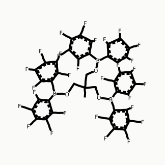 CC(COB(c1cc(F)c(F)c(F)c1F)c1c(F)c(F)c(F)c(F)c1F)(COB(c1c(F)c(F)c(F)c(F)c1F)c1c(F)c(F)c(F)c(F)c1F)COB(c1c(F)c(F)c(F)c(F)c1F)c1c(F)c(F)c(F)c(F)c1F